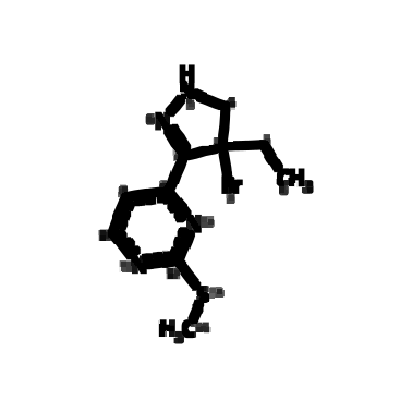 CCC1(Br)CNN=C1c1ccnc(SC)n1